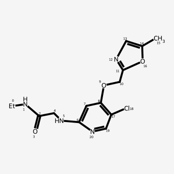 CCNC(=O)CNc1cc(OCc2ncc(C)o2)c(Cl)cn1